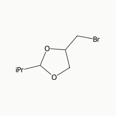 CC(C)C1OCC(CBr)O1